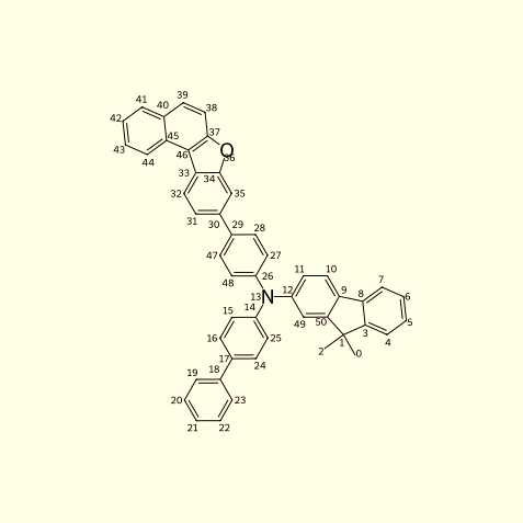 CC1(C)c2ccccc2-c2ccc(N(c3ccc(-c4ccccc4)cc3)c3ccc(-c4ccc5c(c4)oc4ccc6ccccc6c45)cc3)cc21